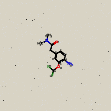 CN(C)C(=O)Cc1ccc(N)c(OC(F)F)c1